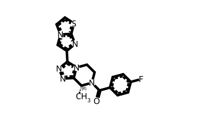 C[C@@H]1c2nnc(-c3cn4ccsc4n3)n2CCN1C(=O)c1ccc(F)cc1